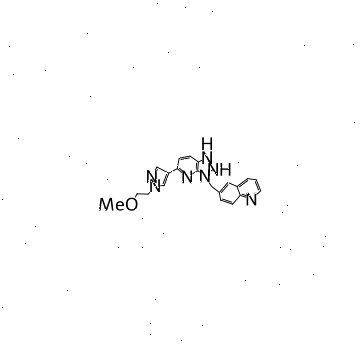 COCCn1cc(-c2ccc3c(n2)N(Cc2ccc4ncccc4c2)NN3)cn1